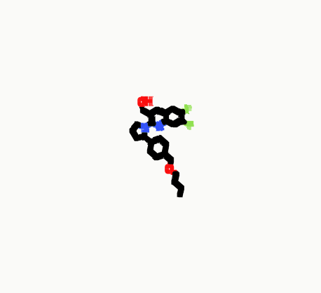 CCCCOCC1CCC([C@H]2CCCN2c2nc3cc(F)c(F)cc3cc2CO)CC1